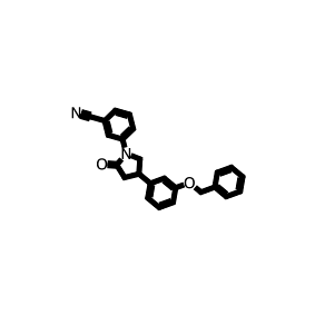 N#Cc1cccc(N2CC(c3cccc(OCc4ccccc4)c3)CC2=O)c1